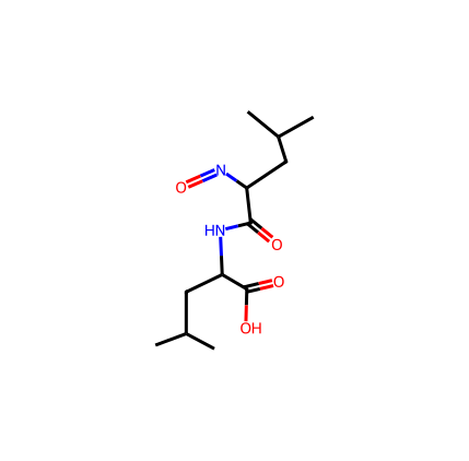 CC(C)CC(N=O)C(=O)NC(CC(C)C)C(=O)O